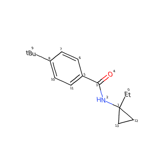 CCC1(NC(=O)c2ccc(C(C)(C)C)cc2)CC1